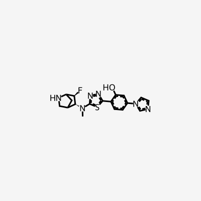 CN(c1nnc(-c2ccc(-n3ccnc3)cc2O)s1)[C@@H]1C2CNC(C2)[C@H]1F